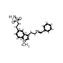 Cn1cc(CCN=Cc2ccccc2)c2cc(CCS(N)(=O)=O)ccc21